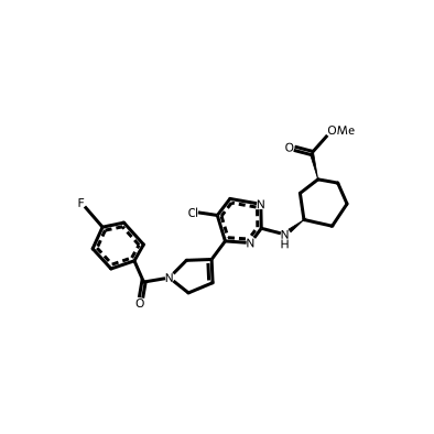 COC(=O)[C@H]1CCC[C@@H](Nc2ncc(Cl)c(C3=CCN(C(=O)c4ccc(F)cc4)C3)n2)C1